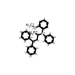 COc1ccccc1P(c1ccccc1)C(P)CC(c1ccccc1)c1ccccc1